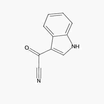 N#CC(=O)c1c[nH]c2ccccc12